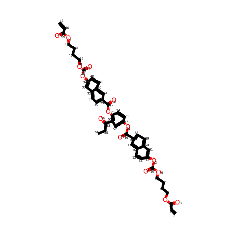 C=CC(=O)OCCCCOC(=O)Oc1ccc2cc(C(=O)Oc3ccc(OC(=O)c4ccc5cc(OC(=O)OCCCCOC(=O)C=C)ccc5c4)c(C(=O)CC)c3)ccc2c1